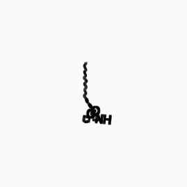 CCCCCCCCCCCCC#CC#CC(=O)OC1(c2ccccc2)CCNCC1